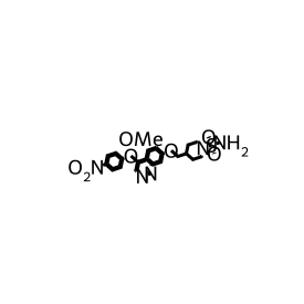 COc1cc2c(Oc3ccc([N+](=O)[O-])cc3)cnnc2cc1OCC1CCN(S(N)(=O)=O)CC1